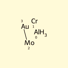 [AlH3].[Cr].[Mo][Au]